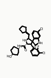 O=C(N[C@H]1CC[C@H](O)CC1)[C@@H]1NC(C=C2CCCC2)C2(C(=O)Nc3cc(Cl)ccc32)C1c1cccc(Cl)c1F